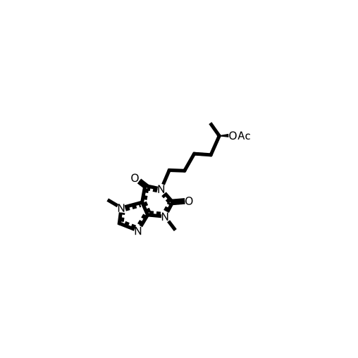 CC(=O)O[C@H](C)CCCCn1c(=O)c2c(ncn2C)n(C)c1=O